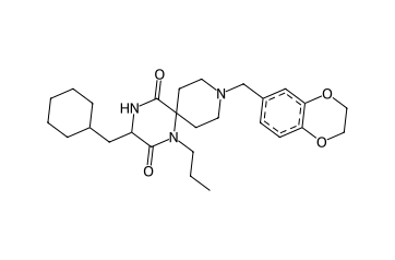 CCCN1C(=O)C(CC2CCCCC2)NC(=O)C12CCN(Cc1ccc3c(c1)OCCO3)CC2